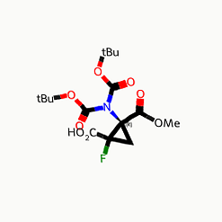 COC(=O)[C@]1(N(C(=O)OC(C)(C)C)C(=O)OC(C)(C)C)CC1(F)C(=O)O